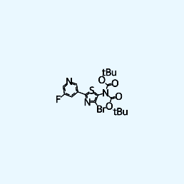 CC(C)(C)OC(=O)N(C(=O)OC(C)(C)C)c1sc(-c2cncc(F)c2)nc1Br